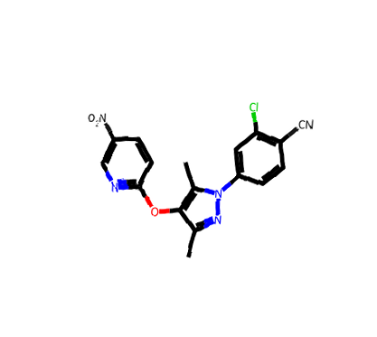 Cc1nn(-c2ccc(C#N)c(Cl)c2)c(C)c1Oc1ccc([N+](=O)[O-])cn1